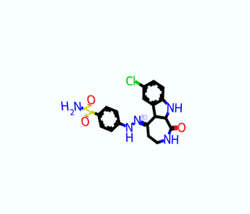 NS(=O)(=O)c1ccc(N/N=C2\CCNC(=O)C3Nc4ccc(Cl)cc4C23)cc1